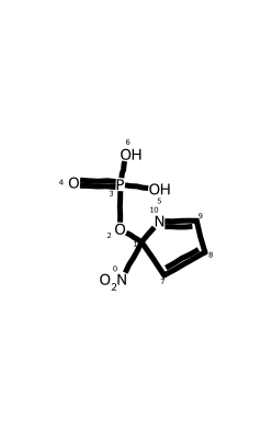 O=[N+]([O-])C1(OP(=O)(O)O)C=CC=N1